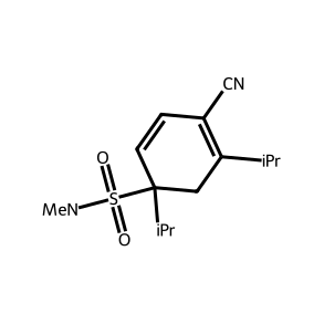 CNS(=O)(=O)C1(C(C)C)C=CC(C#N)=C(C(C)C)C1